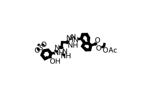 CC(=O)OC(C)OC(=O)c1cccc2c(N/N=N\C(=N)C/C(N=N)=N/Nc3cc(S(C)(=O)=O)ccc3O)cccc12